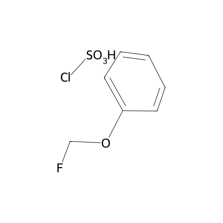 FCOc1ccccc1.O=S(=O)(O)Cl